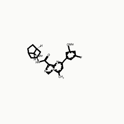 COc1cc(F)cc(-c2cc(C)n3cnc(C(=O)N[C@H]4CC5CC[C@@H](C4)[C@@H]5OC)c3n2)c1